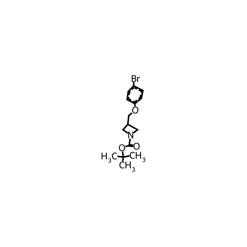 CC(C)(C)OC(=O)N1CC(COc2ccc(Br)cc2)C1